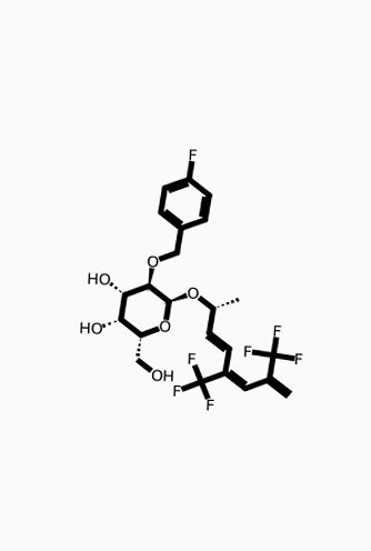 C=C(/C=C(\C=C\[C@@H](C)O[C@H]1O[C@H](CO)[C@H](O)[C@H](O)[C@H]1OCc1ccc(F)cc1)C(F)(F)F)C(F)(F)F